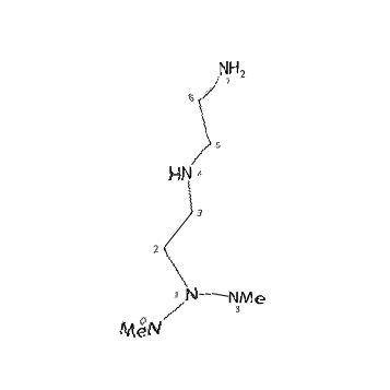 CNN(CCNCCN)NC